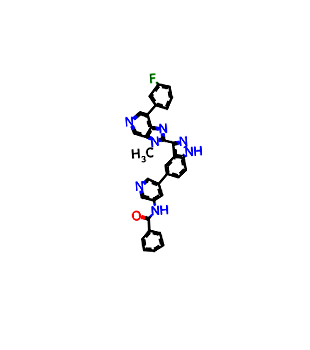 Cn1c(-c2n[nH]c3ccc(-c4cncc(NC(=O)c5ccccc5)c4)cc23)nc2c(-c3cccc(F)c3)cncc21